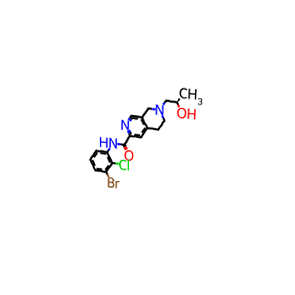 C[C@@H](O)CN1CCc2cc(C(=O)Nc3cccc(Br)c3Cl)ncc2C1